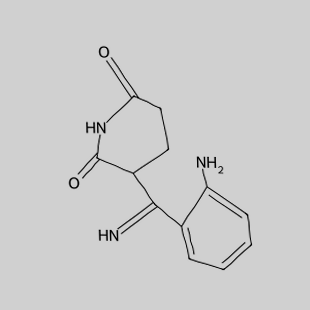 N=C(c1ccccc1N)C1CCC(=O)NC1=O